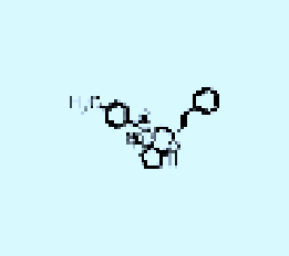 Cc1ccc(S(=O)(=O)N2C[C@H](/C=C/c3ccccc3)O[C@@H]3CCC[C@@H]32)cc1